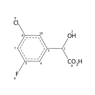 O=C(O)C(O)c1cc(F)cc(Cl)c1